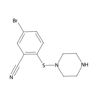 N#Cc1cc(Br)ccc1SN1CCNCC1